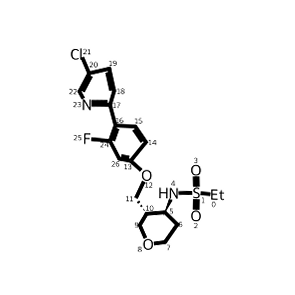 CCS(=O)(=O)N[C@H]1CCOC[C@@H]1COc1ccc(-c2ccc(Cl)cn2)c(F)c1